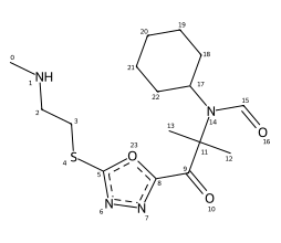 CNCCSc1nnc(C(=O)C(C)(C)N(C=O)C2CCCCC2)o1